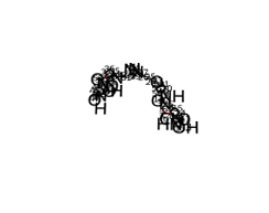 CCCCN(Cc1ccc(C(=O)NO)cc1)C(=O)Nc1ccc(OCCCCn2cc(CCNc3cccc4c3C(=O)N(C3CCC(=O)NC3=O)C4=O)nn2)cc1